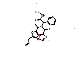 C=CCc1ccc(C(C)N(C(=O)c2c[nH]cn2)C(C(=O)NC(C)(C)C)c2cccnc2)o1